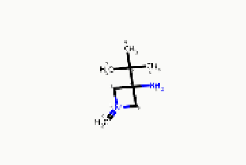 C=[N+]1CC(N)(C(C)(C)C)C1